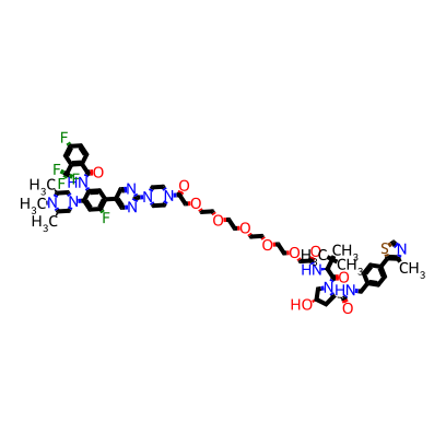 Cc1ncsc1-c1ccc(CNC(=O)[C@@H]2C[C@@H](O)CN2C(=O)[C@@H](NC(=O)COCCOCCOCCOCCOCC(=O)N2CCN(c3ncc(-c4cc(NC(=O)c5ccc(F)cc5C(F)(F)F)c(N5C[C@@H](C)N(C)[C@@H](C)C5)cc4F)cn3)CC2)C(C)(C)C)cc1